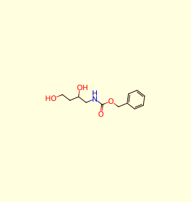 O=C(NCC(O)CCO)OCc1ccccc1